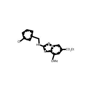 CCOC(=O)c1cc(OC)c2nc(NCc3cccc(Cl)c3)nn2c1